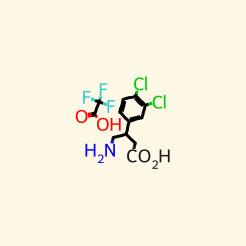 NCC(CC(=O)O)c1ccc(Cl)c(Cl)c1.O=C(O)C(F)(F)F